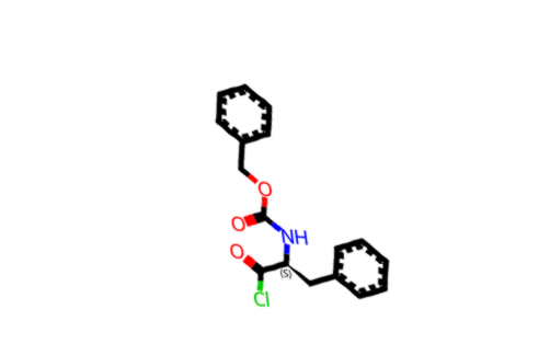 O=C(N[C@@H](Cc1ccccc1)C(=O)Cl)OCc1ccccc1